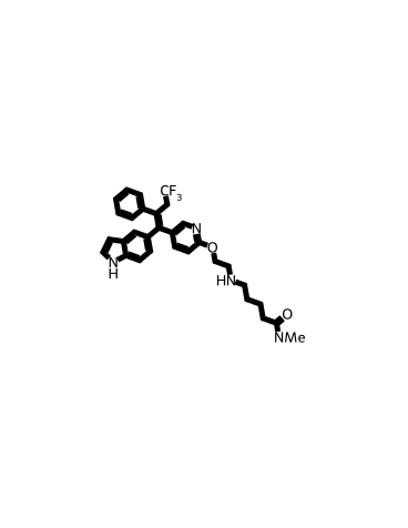 CNC(=O)CCCCNCCOc1ccc(C(=C(CC(F)(F)F)c2ccccc2)c2ccc3[nH]ccc3c2)cn1